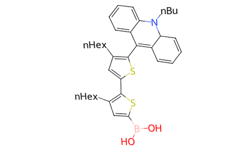 CCCCCCc1cc(-c2sc(B(O)O)cc2CCCCCC)sc1C1=C2C=CC=CC2N(CCCC)c2ccccc21